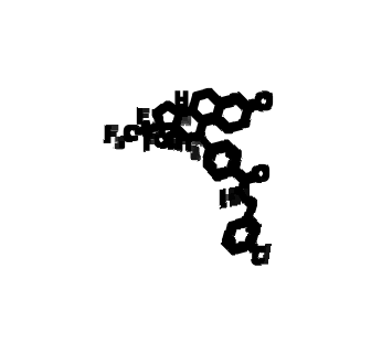 CC12C[C@H](c3ccc(C(=O)NCc4cccc(Cl)c4)cc3)C3=C4CCC(=O)C=C4CCC3[C@@H]1CC[C@@]2(O)C(F)(F)C(F)(F)F